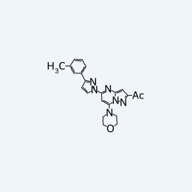 CC(=O)c1cc2nc(-n3ccc(-c4cccc(C)c4)n3)cc(N3CCOCC3)n2n1